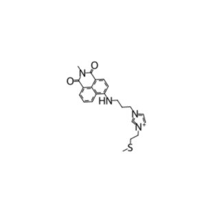 CSCC[n+]1ccn(CCCNc2ccc3c4c(cccc24)C(=O)N(C)C3=O)c1